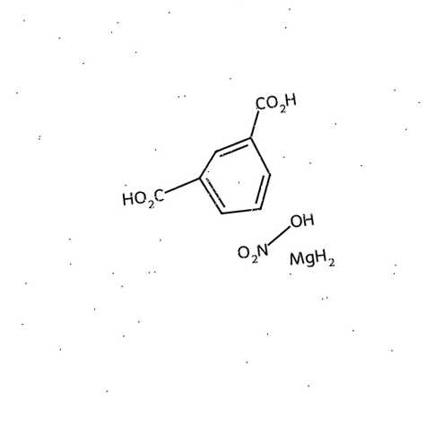 O=C(O)c1cccc(C(=O)O)c1.O=[N+]([O-])O.[MgH2]